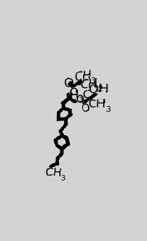 C=C(C)C(=O)OCC(COC(=O)C(C)(C)CO)CC1CCC(CCC2CCC(CCCCC)CC2)CC1